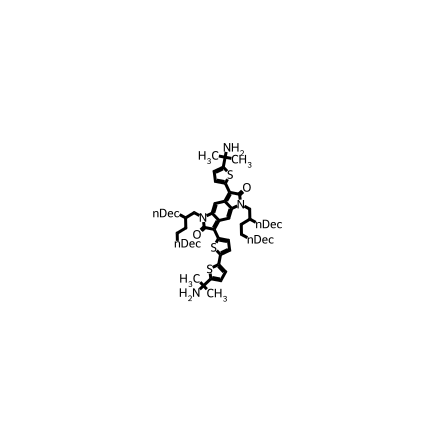 CCCCCCCCCCCCC(CCCCCCCCCC)CN1C(=O)C(c2ccc(-c3ccc(C(C)(C)N)s3)s2)=c2cc3c(cc21)=C(c1ccc(C(C)(C)N)s1)C(=O)N3CC(CCCCCCCCCC)CCCCCCCCCCCC